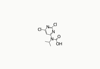 CC(C)N(C(=O)O)c1cc(Cl)nc(Cl)n1